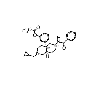 CC(=O)Oc1cccc([C@@]23CCN(CC4CC4)C[C@H]2CC[C@H](NC(=O)c2ccccc2)C3)c1